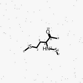 CSCCC(NSC)C(C)=O